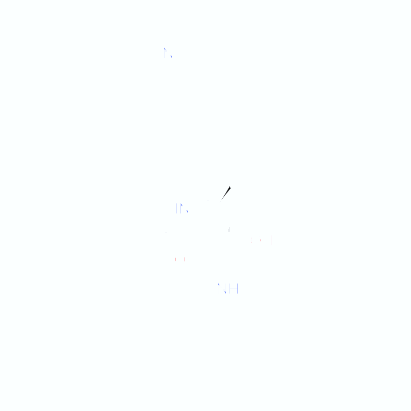 CC(=O)N[C@@H](Cc1ccc(C#N)cc1)[C@H](O)CNCC(C)C